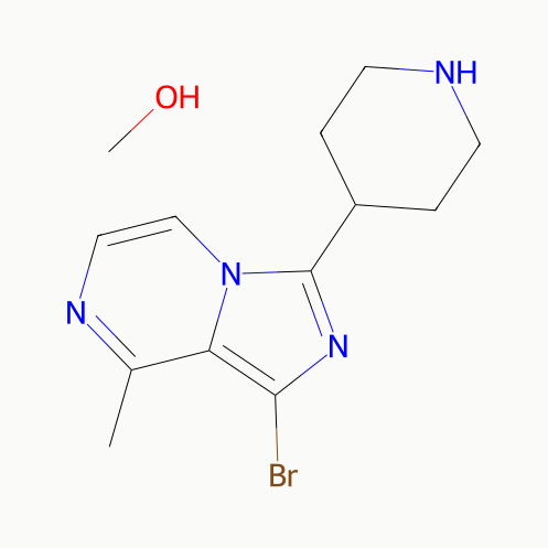 CO.Cc1nccn2c(C3CCNCC3)nc(Br)c12